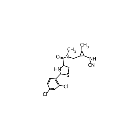 CC1C(CN(C)C(=O)C2CSC(c3ccc(Cl)cc3Cl)N2)C1NC#N